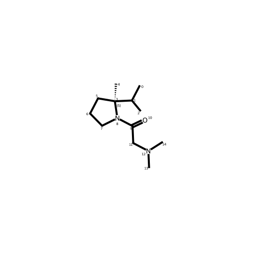 CC(C)[C@]1(C)CCCN1C(=O)CN(C)C